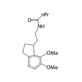 CCCC(=O)NCCC1CCc2ccc(OC)c(OC)c21